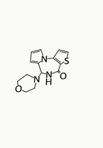 O=C1NC(N2CCOCC2)c2cccn2-c2ccsc21